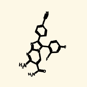 N#Cc1ccc(-c2nc3nc(N)c(C(N)=O)cn3c2-c2ccc(F)cc2F)cc1